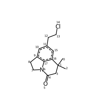 CC1(C)CC(=O)N2CCc3cc(CCCl)cc1c32